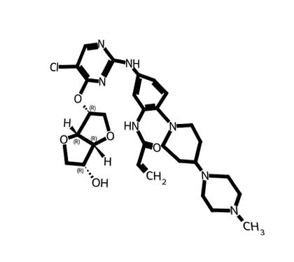 C=CC(=O)Nc1cc(Nc2ncc(Cl)c(O[C@@H]3CO[C@H]4[C@@H]3OC[C@H]4O)n2)ccc1N1CCC(N2CCN(C)CC2)CC1